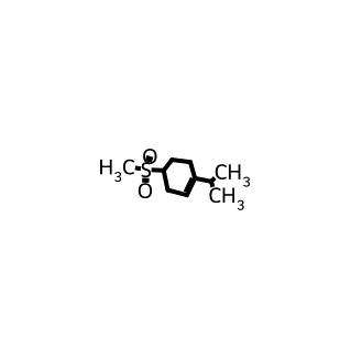 CC(C)C1=CCC(S(C)(=O)=O)CC1